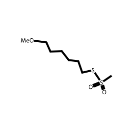 COCCCCCCSS(C)(=O)=O